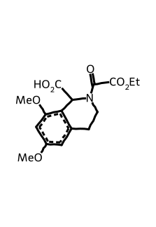 CCOC(=O)C(=O)N1CCc2cc(OC)cc(OC)c2C1C(=O)O